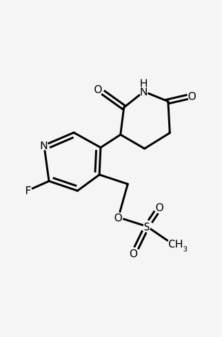 CS(=O)(=O)OCc1cc(F)ncc1C1CCC(=O)NC1=O